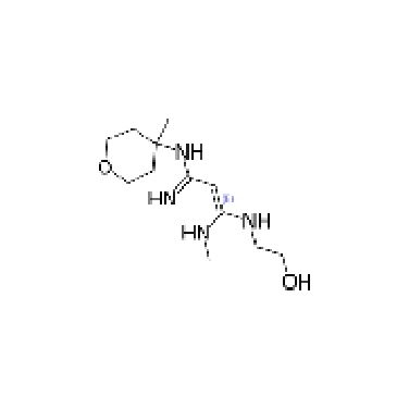 CN/C(=C\C(=N)NC1(C)CCOCC1)NCCO